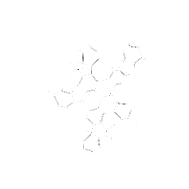 CC(C)(C)c1ccc(N2B3c4cc5c(cc4-n4c6ccc(C(C)(C)C)cc6c6c7c(c(c3c64)-c3cc4c(cc32)sc2cc(C(C)(C)C)ccc24)-c2ccccc2C7(C)C)-c2ccccc2C5(C)C)cc1